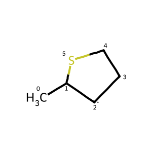 CC1[CH]CCS1